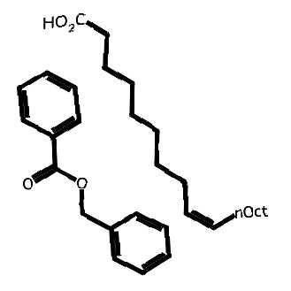 CCCCCCCC/C=C\CCCCCCCC(=O)O.O=C(OCc1ccccc1)c1ccccc1